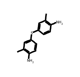 Cc1cc(Sc2ccc(N)c(C)c2)ccc1N